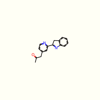 CC(=O)Cc1ccnc(C2=Nc3ccccc3C2)c1